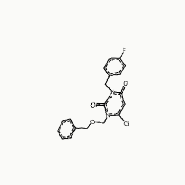 O=c1cc(Cl)n(COCc2ccccc2)c(=O)n1Cc1ccc(F)cc1